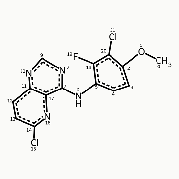 COc1ccc(Nc2ncnc3ccc(Cl)nc23)c(F)c1Cl